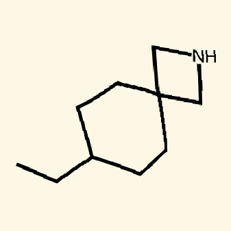 CCC1CCC2(CC1)CNC2